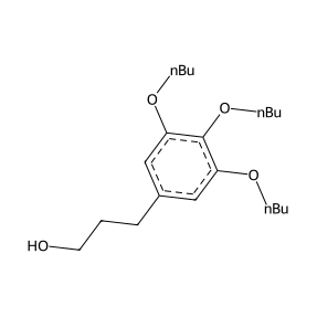 CCCCOc1cc(CCCO)cc(OCCCC)c1OCCCC